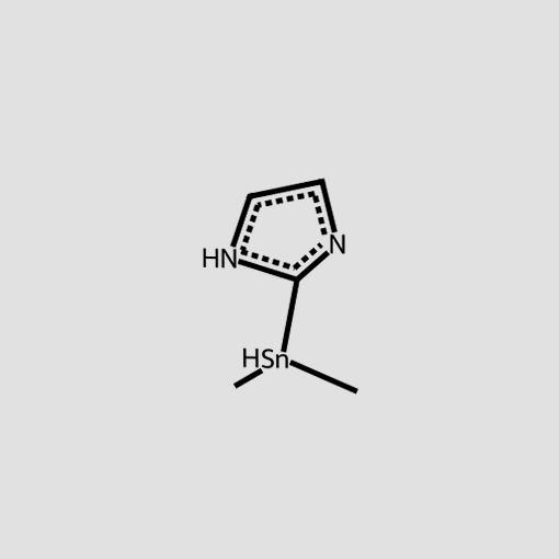 [CH3][SnH]([CH3])[c]1ncc[nH]1